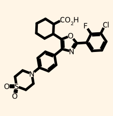 O=C(O)C1CCCCC1c1oc(-c2cccc(Cl)c2F)nc1-c1ccc(N2CCS(=O)(=O)CC2)cc1